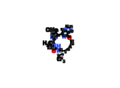 CCN1C(=O)N[C@@H](CCC(F)(F)F)CCCCCOc2nc(cn3ccnc23)-c2nc(ncc2OC)[C@H]1C